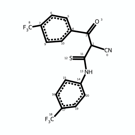 N#CC(C(=O)c1ccc(C(F)(F)F)cc1)C(=S)Nc1ccc(C(F)(F)F)cc1